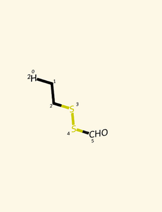 [2H]CCSSC=O